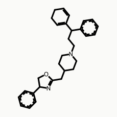 C1=CC(C(CCN2CCC(CC3=NC(c4ccccc4)CO3)CC2)c2ccccc2)=CCC1